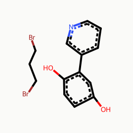 BrCCCBr.Oc1ccc(O)c(-c2cccnc2)c1